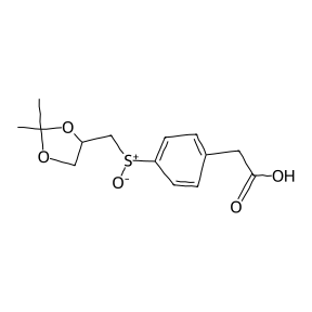 CC1(C)OCC(C[S+]([O-])c2ccc(CC(=O)O)cc2)O1